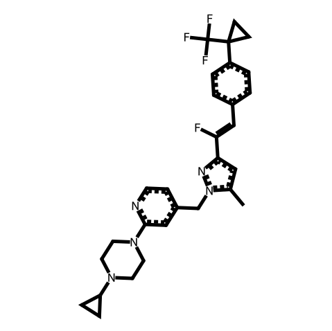 Cc1cc(C(F)=Cc2ccc(C3(C(F)(F)F)CC3)cc2)nn1Cc1ccnc(N2CCN(C3CC3)CC2)c1